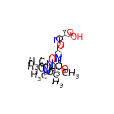 COc1ccc(C(=O)N(CC(C)(C)C)c2cc(C)cc(C)n2)c(N2CCC(COc3cc(C(CC(=O)O)C4CC4)ccn3)CC2)c1